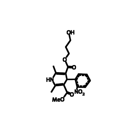 COC(=O)C1=C(C)NC(C)=C(C(=O)OCCCO)C1c1ccccc1[N+](=O)[O-]